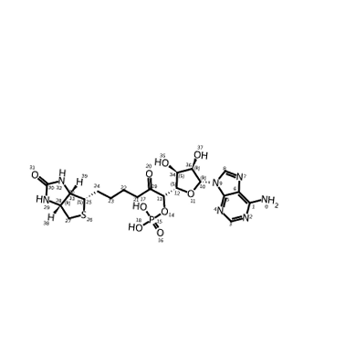 Nc1ncnc2c1ncn2[C@@H]1O[C@H](C(OP(=O)(O)O)C(=O)CCCC[C@@H]2SC[C@@H]3NC(=O)N[C@@H]32)[C@@H](O)[C@H]1O